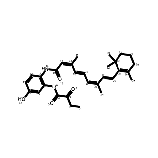 CCC(=O)C(=O)Oc1cc(O)ccc1NC(=O)C=C(C)C=CC=C(C)C=CC1=C(C)CCCC1(C)C